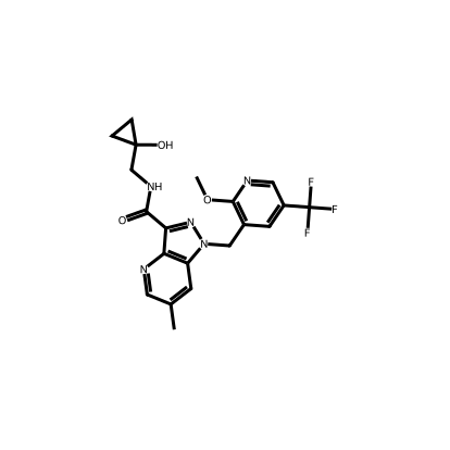 COc1ncc(C(F)(F)F)cc1Cn1nc(C(=O)NCC2(O)CC2)c2ncc(C)cc21